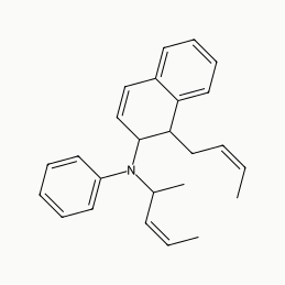 C/C=C\CC1c2ccccc2C=CC1N(c1ccccc1)C(C)/C=C\C